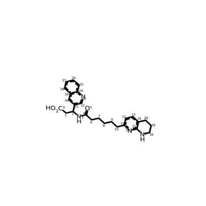 O=C(O)CC(NC(=O)CCCCCc1ccc2c(n1)NCCC2)c1cnc2ccccc2c1